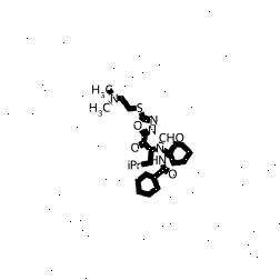 CC(C)CC(C(=O)c1nnc(SCCN(C)C)o1)N(C=O)C1(NC(=O)C2CCCCC2)CCCCC1